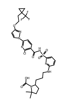 CC1(C)CCC(CCCNc2cccc(S(=O)(=O)NC(=O)c3ccc(-n4ccc(OCCC5(C(F)(F)F)CC5)n4)nc3Cl)n2)N1C(=O)O